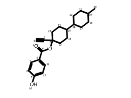 C#CC1(OC(=O)c2ccc(O)cc2)CCC(C2CCC(C)CC2)CC1